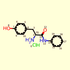 Cl.N[C@@H](Cc1ccc(O)cc1)C(=O)Nc1ccccc1